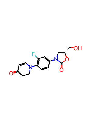 O=C1C=CN(c2ccc(N3C[C@H](CO)OC3=O)cc2F)CC1